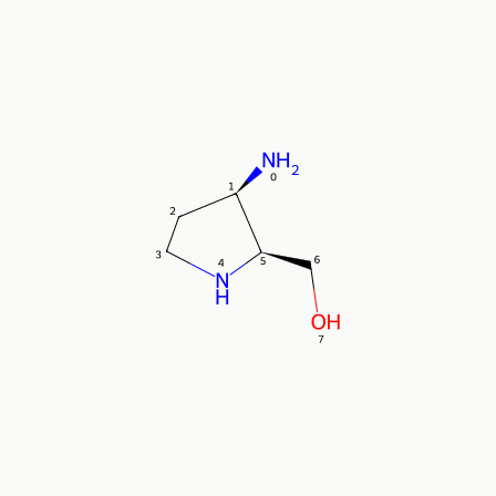 N[C@@H]1CCN[C@@H]1CO